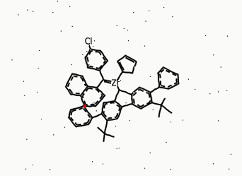 CC(C)(C)c1cc2c(cc1-c1ccccc1)[CH]([Zr]([C]1=CC=CC1)=[C](c1ccc(Cl)cc1)c1cccc3ccccc13)c1cc(-c3ccccc3)c(C(C)(C)C)cc1-2